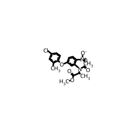 COC(=O)C(C)N(C(C)=O)c1cc(Oc2ccc(Cl)cc2C)ccc1[N+](=O)[O-]